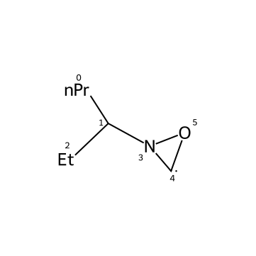 CCCC(CC)N1[CH]O1